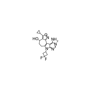 Nc1ncnc2c1c1c(n2C2CC(F)(F)C2)CCC(O)c2c-1noc2C1CC1